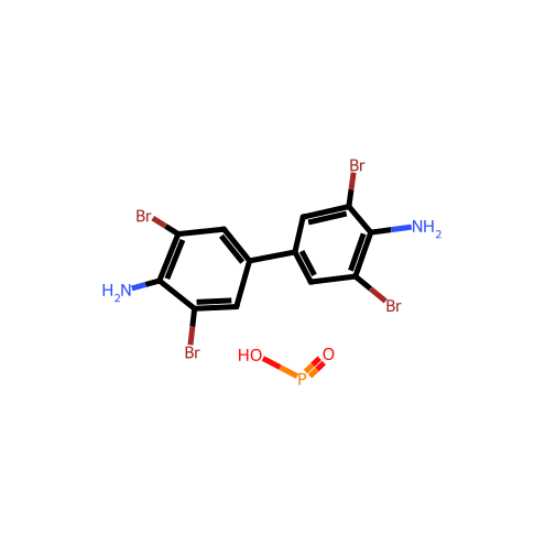 Nc1c(Br)cc(-c2cc(Br)c(N)c(Br)c2)cc1Br.O=PO